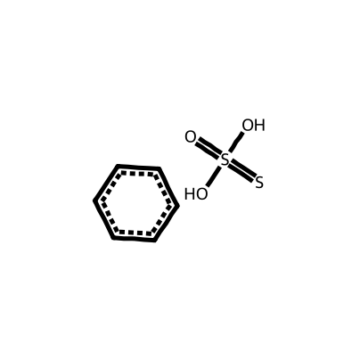 O=S(O)(O)=S.c1ccccc1